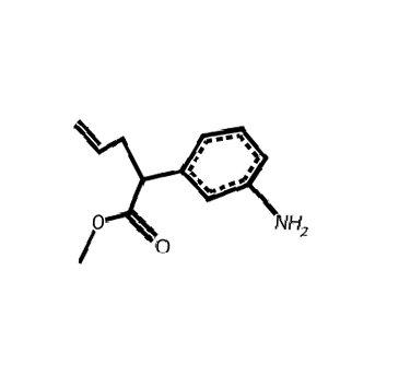 C=CCC(C(=O)OC)c1cccc(N)c1